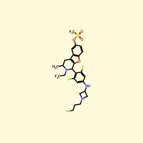 CC1Cc2c(oc3ccc(OS(=O)(=O)C(F)(F)F)cc23)C(c2c(F)cc(NC3CN(CCCF)C3)cc2F)N1CC(F)(F)F